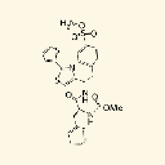 COC(=O)N[C@@H](Cc1ccccc1)C(=O)N[C@@H](Cc1ccc(S(=O)(=O)ON)cc1)c1csc(-c2cccs2)n1